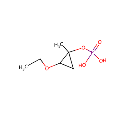 CCOC1CC1(C)OP(=O)(O)O